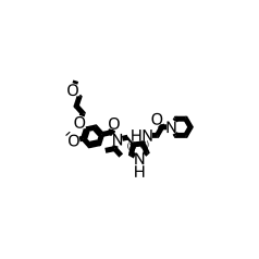 COCCCOc1cc(C(=O)N(C[C@@H]2CNC[C@H]2NCC(=O)N2CCCCC2)C(C)C)ccc1OC